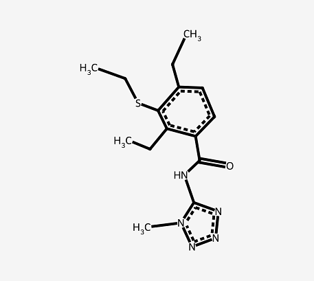 CCSc1c(CC)ccc(C(=O)Nc2nnnn2C)c1CC